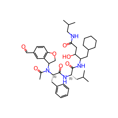 CC(=O)N(C1COc2ccc(C=O)cc21)[C@@H](Cc1ccccc1)C(=O)N[C@@H](CC(C)C)C(=O)NC(CC1CCCCC1)C(O)CC(=O)NCC(C)C